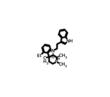 CCc1ccccc1C1(C)CCN(C)[C@H](C)[C@H]1NCCc1c[nH]c2ccccc12